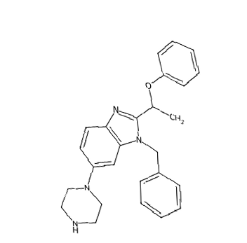 CC(Oc1ccccc1)c1nc2ccc(N3CCNCC3)cc2n1Cc1ccccc1